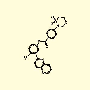 Cc1ccc(NC(=O)c2ccc(N3COCCS3(=O)=O)cc2)cc1-c1ccc2ncccc2n1